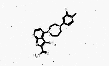 Cc1ccc(N2CCCN(c3ccnc4sc(C(N)=O)c(N)c34)CC2)cc1F